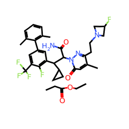 CCOC(=O)CC.Cc1cc(=O)n(C(C(N)=O)C(c2cc(-c3c(C)cccc3C)cc(C(F)(F)F)c2F)C2CC2)nc1CCN1CC(F)C1